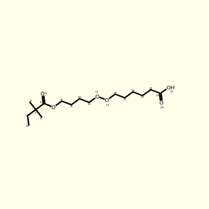 CCC(C)(C)C(=O)OCCCCOOCCCCCC(=O)O